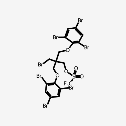 O=S(=O)(OCC(CBr)(COc1c(Br)cc(Br)cc1Br)COc1c(Br)cc(Br)cc1Br)C(F)(F)F